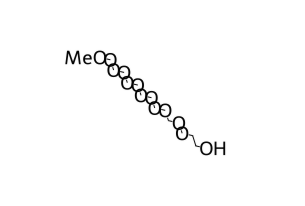 COOOOOOOOOOCOOCCO